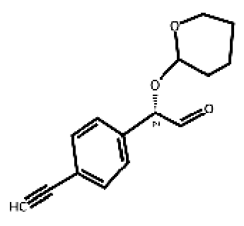 C#Cc1ccc([C@@H](C=O)OC2CCCCO2)cc1